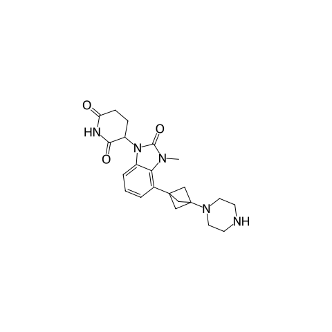 Cn1c(=O)n(C2CCC(=O)NC2=O)c2cccc(C34CC(N5CCNCC5)(C3)C4)c21